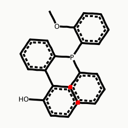 COc1ccccc1P(c1ccccc1)c1ccccc1-c1ccccc1O